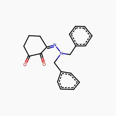 O=C1CCC/C(=N/N(Cc2ccccc2)Cc2ccccc2)C1=O